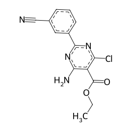 CCOC(=O)c1c(N)nc(-c2cccc(C#N)c2)nc1Cl